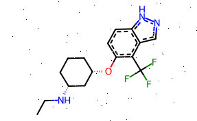 CCN[C@@H]1CCC[C@H](Oc2ccc3[nH]ncc3c2C(F)(F)F)C1